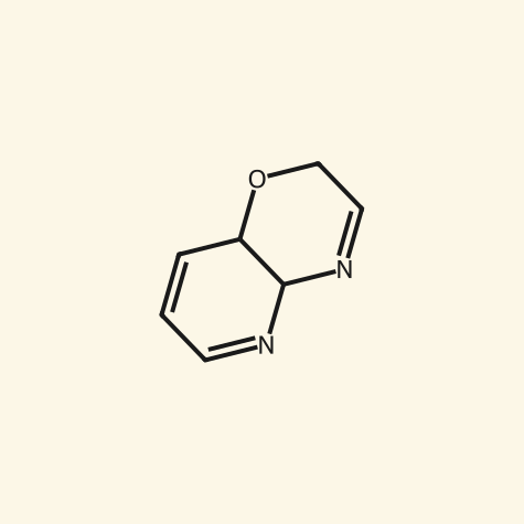 C1=CC2OCC=NC2N=C1